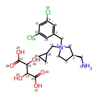 NC[C@H]1CC[N+](Cc2cc(Cl)cc(Cl)c2)(CC2CC2)C1.O=C(O)C(O)C(O)C(=O)O